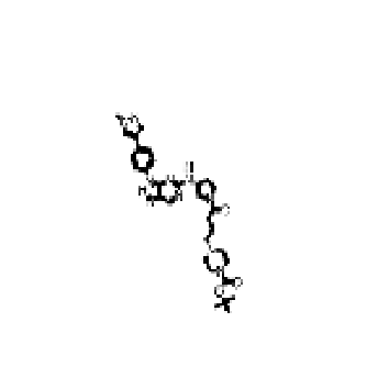 Cn1cc(-c2ccc(-n3nnc4cnc(N[C@@H]5CCN(C(=O)CCCN6CCN(C(=O)OC(C)(C)C)CC6)C5)nc43)cc2)cn1